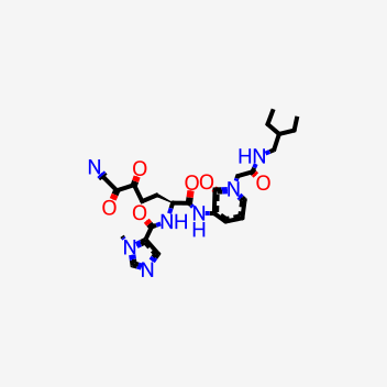 CCC(CC)CNC(=O)Cn1cccc(NC(=O)[C@H](CCC(=O)C(=O)C#N)NC(=O)c2cncn2C)c1=O